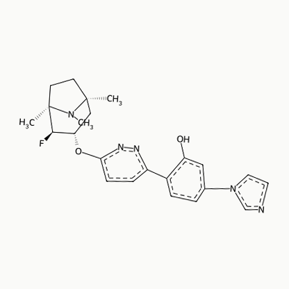 CN1[C@@]2(C)CC[C@]1(C)[C@H](F)[C@@H](Oc1ccc(-c3ccc(-n4ccnc4)cc3O)nn1)C2